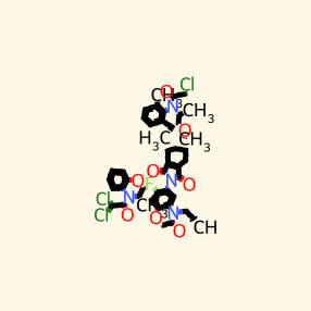 C#CCN1C(=O)COc2cc(F)c(N3C(=O)C4=C(CCCC4)C3=O)cc21.CC1COc2ccccc2N1C(=O)C(Cl)Cl.CCc1cccc(C)c1N(C(=O)CCl)C(C)COC